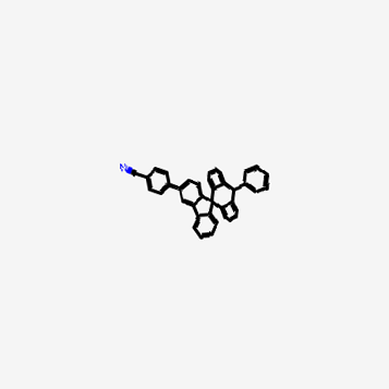 N#Cc1ccc(-c2ccc3c(c2)-c2ccccc2C32c3ccccc3C(c3ccccc3)c3ccccc32)cc1